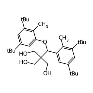 Cc1c(OC(c2cc(C(C)(C)C)cc(C(C)(C)C)c2C)C(CO)(CO)CO)cc(C(C)(C)C)cc1C(C)(C)C